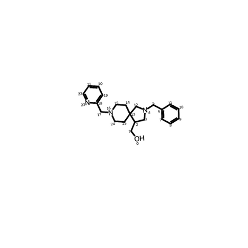 OCC1CN(Cc2ccccc2)CC12CCN(Cc1ccccn1)CC2